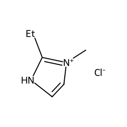 CCc1[nH]cc[n+]1C.[Cl-]